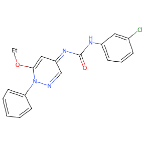 CCOc1cc(=NC(=O)Nc2cccc(Cl)c2)cnn1-c1ccccc1